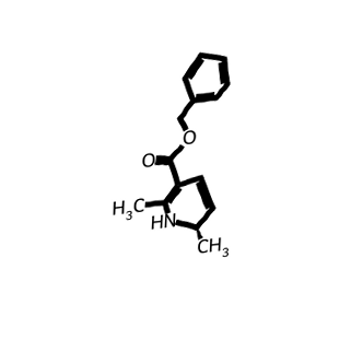 CC1=C(C(=O)OCc2ccccc2)C=C[C@@H](C)N1